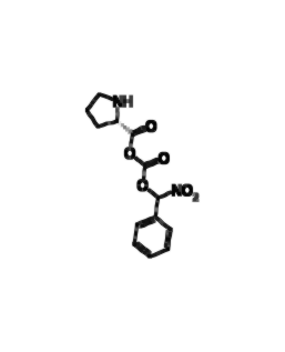 O=C(OC(=O)[C@@H]1CCCN1)OC(c1ccccc1)[N+](=O)[O-]